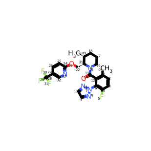 Cc1ccc(F)c(-n2nccn2)c1C(=O)N1CCC[C@@H](C)[C@H]1COc1ccc(C(F)(F)F)cn1